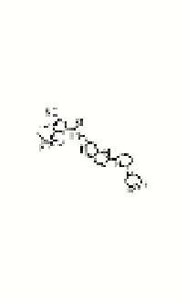 C[C@@H]1CN(c2cccc(-c3ccc4cnc(CNC(=O)c5cc(C#N)c6c(c5)S(=O)(=O)[C@@H](F)CCO6)cc4n3)n2)C[C@H](C)O1